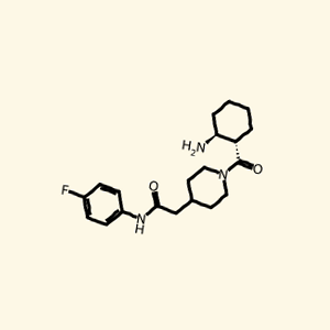 N[C@H]1CCCC[C@@H]1C(=O)N1CCC(CC(=O)Nc2ccc(F)cc2)CC1